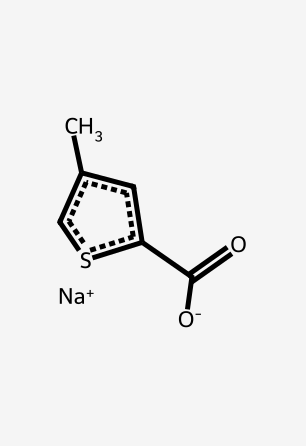 Cc1csc(C(=O)[O-])c1.[Na+]